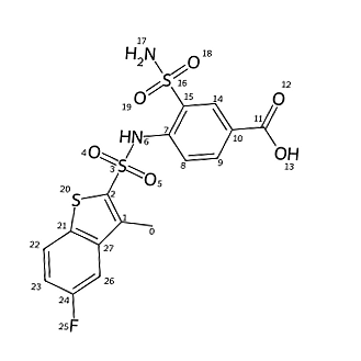 Cc1c(S(=O)(=O)Nc2ccc(C(=O)O)cc2S(N)(=O)=O)sc2ccc(F)cc12